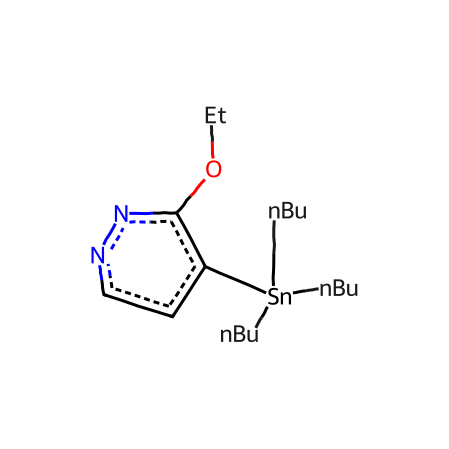 CCC[CH2][Sn]([CH2]CCC)([CH2]CCC)[c]1ccnnc1OCC